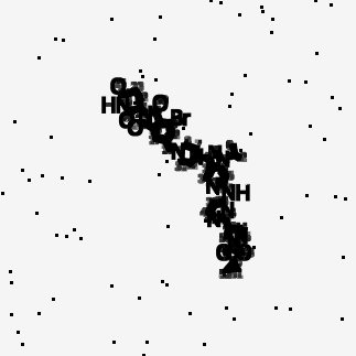 CC(C)n1nc(N2CCN(Cc3cc(Br)c4c(c3)C(=O)N(C3CCC(=O)NC3=O)C4=O)CC2)c2cnc(Nc3ccnc(-c4cnn(S(=O)(=O)C5CC5)c4)n3)cc21